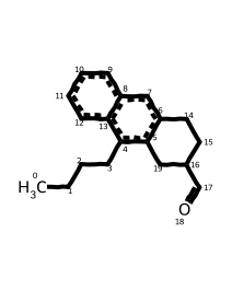 CCCCc1c2c(cc3ccccc13)CCC(C=O)C2